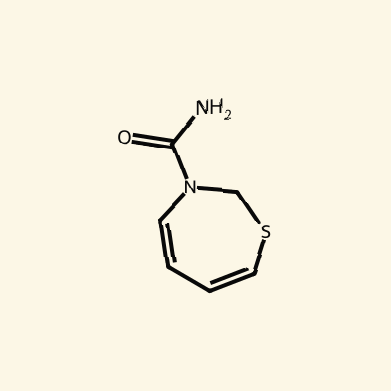 NC(=O)N1C=CC=CSC1